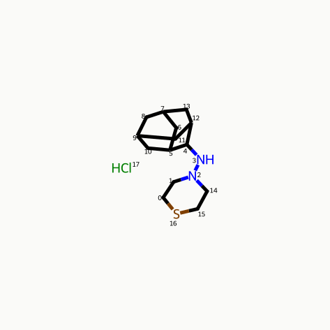 C1CN(NC2C3CC4CC(C3)CC2C4)CCS1.Cl